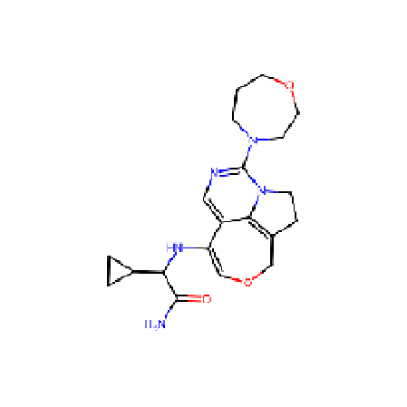 NC(=O)C(NC1=COCC2=C3C1=CN=C(N1CCCOCC1)N3CC2)C1CC1